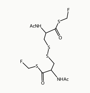 CC(=O)NC(CSSCC(NC(C)=O)C(=O)SCF)C(=O)SCF